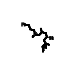 CC[C@@H](CC(C)CN(C)CCCC(C)C)C[SH](C)CF